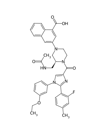 CCOc1cccc(-n2cc(C(=O)N3CCN(c4cc(C(=O)O)c5ccccc5c4)C[C@@H]3CNC(C)=O)nc2-c2ccc(C)cc2F)c1